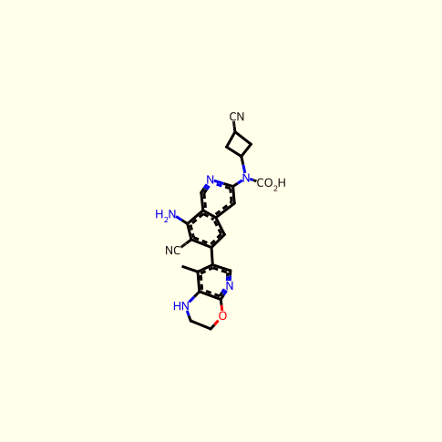 Cc1c(-c2cc3cc(N(C(=O)O)C4CC(C#N)C4)ncc3c(N)c2C#N)cnc2c1NCCO2